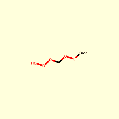 COOOCOOO